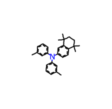 Cc1cccc(N(c2cccc(C)c2)c2ccc3c(c2)C(C)(C)CCC3(C)C)c1